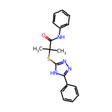 CC(C)(Sc1nnc(-c2ccccc2)[nH]1)C(=O)Nc1ccccc1